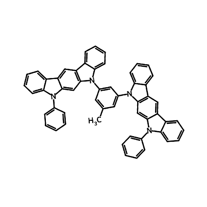 Cc1cc(-n2c3ccccc3c3cc4c5ccccc5n(-c5ccccc5)c4cc32)cc(-n2c3ccccc3c3cc4c5ccccc5n(-c5ccccc5)c4cc32)c1